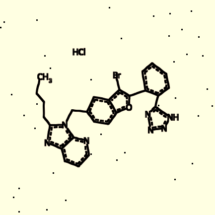 CCCCc1nc2cccnc2n1Cc1ccc2oc(-c3ccccc3-c3nnn[nH]3)c(Br)c2c1.Cl